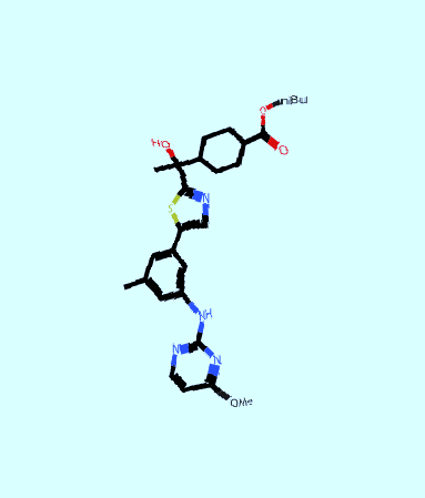 CCCCOC(=O)C1CCC(C(C)(O)c2ncc(-c3cc(C)cc(Nc4nccc(OC)n4)c3)s2)CC1